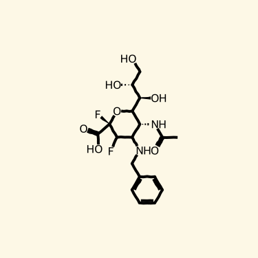 CC(=O)N[C@@H]1C(NCc2ccccc2)C(F)[C@](F)(C(=O)O)OC1[C@H](O)[C@H](O)CO